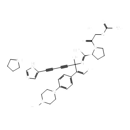 C/C=C(/c1ccc(N2CCN(C)CC2)cc1)C(C)(C#CC#Cc1cnc([C@@H]2CCCN2)[nH]1)/N=C(\N)[C@@H]1CCCN1C(=O)[C@@H](NC(=O)OC)C(C)C